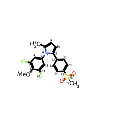 COc1c(F)cc(-n2c(C)ccc2-c2ccc(S(C)(=O)=O)cc2)cc1F